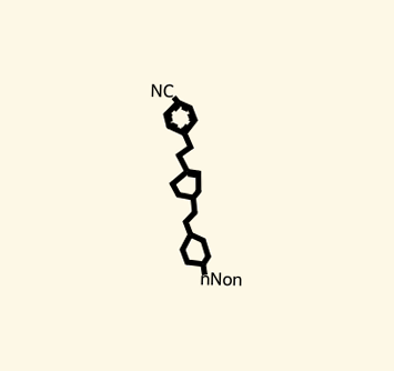 CCCCCCCCCC1CCC(CCC2CC=C(CCc3ccc(C#N)cc3)CC2)CC1